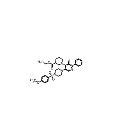 CCOC(=O)C1CCCN(c2c(N3CCN(S(=O)(=O)c4ccc(OC)cc4)CC3)cnn(-c3ccccc3)c2=O)C1